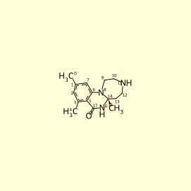 Cc1cc(C)c2c(c1)N1CCNCC[C@]1(C)NC2=O